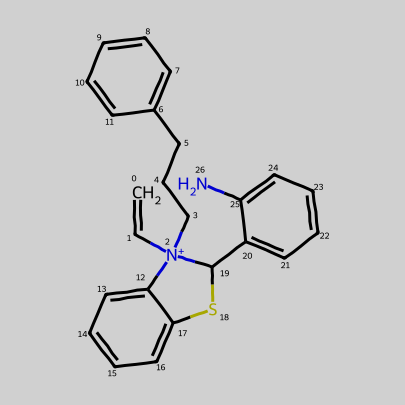 C=C[N+]1(CCCc2ccccc2)c2ccccc2SC1c1ccccc1N